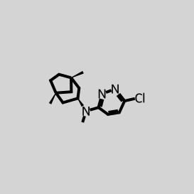 CN(c1ccc(Cl)nn1)[C@H]1C[C@]2(C)CC[C@](C)(C1)C2